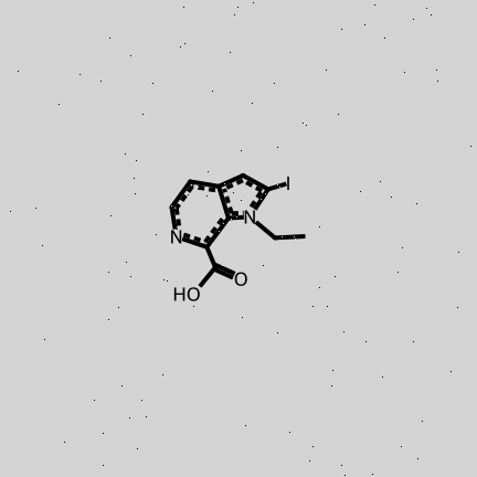 CCn1c(I)cc2ccnc(C(=O)O)c21